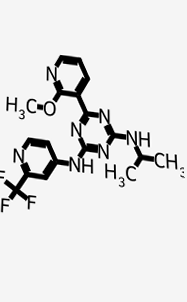 COc1ncccc1-c1nc(Nc2ccnc(C(F)(F)F)c2)nc(NC(C)C)n1